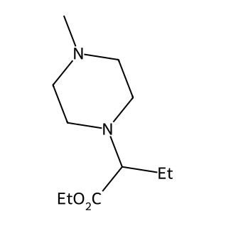 CCOC(=O)C(CC)N1CCN(C)CC1